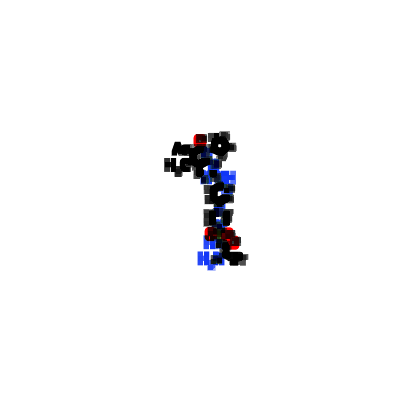 CC(=O)c1c(C)c2cnc(Nc3ccc(N4CCN(S(=O)(=O)NC(=O)C(N)C(C)C)CC4)cn3)nc2n(C2CCCC2)c1=O